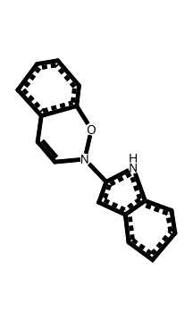 C1=CN(c2cc3ccccc3[nH]2)Oc2ccccc21